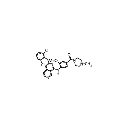 COc1cc(C(=O)N2CCN(C)CC2)ccc1Nc1nc(Cc2c(Cl)cccc2Cl)cc2ccncc12